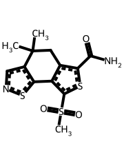 CC1(C)Cc2c(C(N)=O)sc(S(C)(=O)=O)c2-c2sncc21